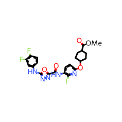 COC(=O)C1CCC(Oc2ccc(NC(=O)c3nnc(Nc4ccc(F)c(F)c4)o3)c(F)n2)CC1